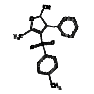 Cc1ccc(S(=O)(=O)C2=C(C(F)(F)F)OC(C#N)C2c2ccccc2)cc1